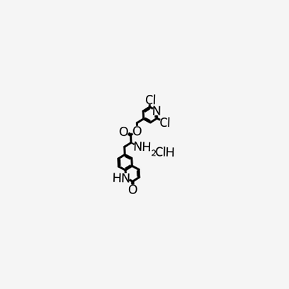 Cl.N[C@@H](Cc1ccc2[nH]c(=O)ccc2c1)C(=O)OCc1cc(Cl)nc(Cl)c1